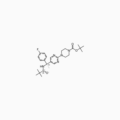 CC(C)(C)OC(=O)N1CCN(c2ncc([C@@](C)(N[S@@+]([O-])C(C)(C)C)c3ccc(F)cc3)cn2)CC1